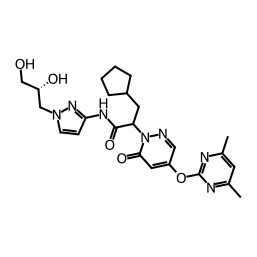 Cc1cc(C)nc(Oc2cnn(C(CC3CCCC3)C(=O)Nc3ccn(C[C@@H](O)CO)n3)c(=O)c2)n1